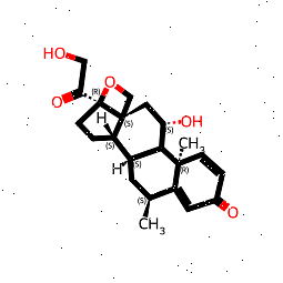 C[C@H]1C[C@@H]2C([C@@H](O)C[C@]34CO[C@]3(C(=O)CO)CC[C@@H]24)[C@@]2(C)C=CC(=O)C=C12